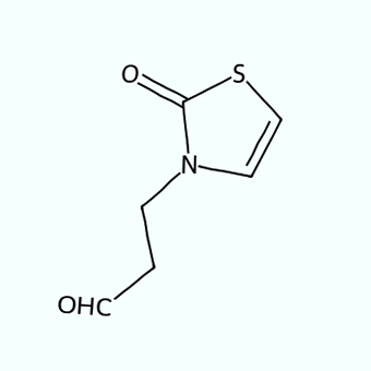 O=CCCn1ccsc1=O